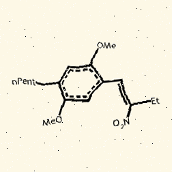 CCCCCc1cc(OC)c(C=C(CC)[N+](=O)[O-])cc1OC